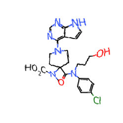 CN(C(=O)O)C1(C(=O)N(CCCO)c2ccc(Cl)cc2)CCN(c2ncnc3[nH]ccc23)CC1